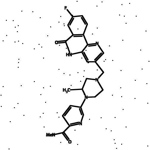 CNC(=O)c1ccc(N2CCN(Cc3cnc4c(c3)[nH]c(=O)c3cc(F)ccc34)CC2C)cn1